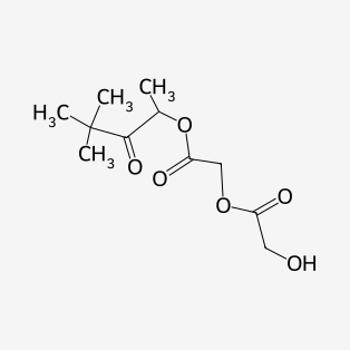 CC(OC(=O)COC(=O)CO)C(=O)C(C)(C)C